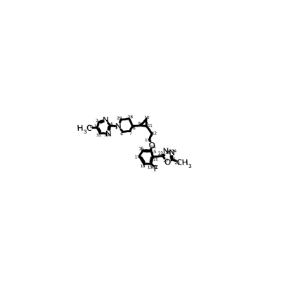 Cc1cnc(N2CCC(C3CC3CCOc3cccc(F)c3-c3nnc(C)o3)CC2)nc1